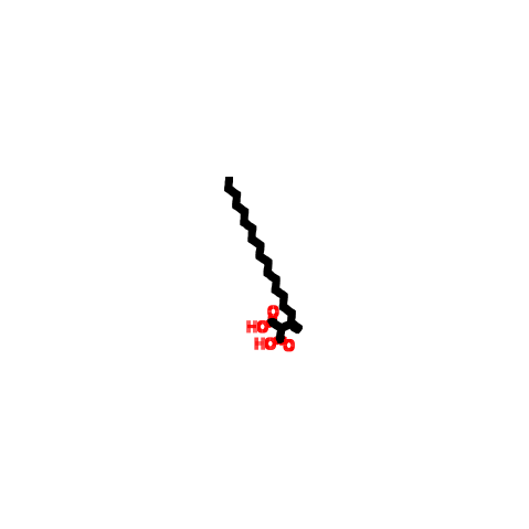 C=C(CCCCCCCCCCCCCCCCC)C(C(=O)O)C(=O)O